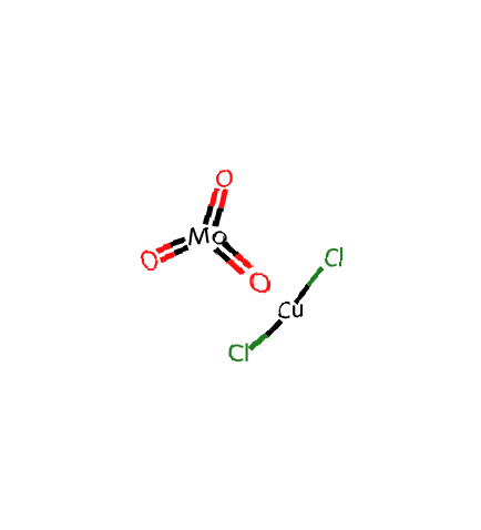 [Cl][Cu][Cl].[O]=[Mo](=[O])=[O]